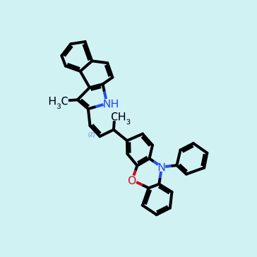 Cc1c(/C=C\C(C)c2ccc3c(c2)Oc2ccccc2N3c2ccccc2)[nH]c2ccc3ccccc3c12